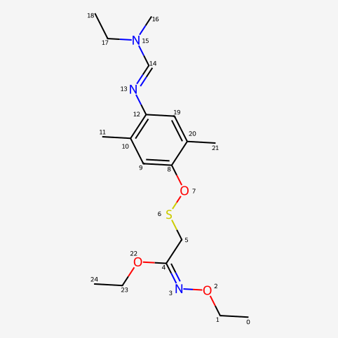 CCO/N=C(\CSOc1cc(C)c(/N=C/N(C)CC)cc1C)OCC